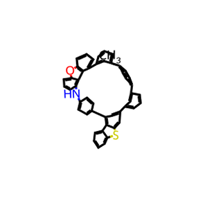 Cc1c2cccc1-c1cccc3oc4cccc(c4c13)Nc1ccc(cc1)-c1cc(cc3sc4ccccc4c13)-c1cccc(c1)-c1ccc-2cc1